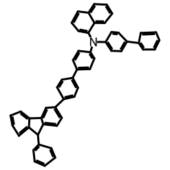 c1ccc(-c2ccc(N(c3ccc(-c4ccc(-c5ccc6c(c5)-c5ccccc5C6c5ccccc5)cc4)cc3)c3cccc4ccccc34)cc2)cc1